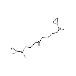 CN(CCCCNCCCN(C)C1CC1)C1CC1